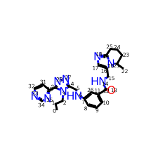 CCCn1c(CNc2cccc(C(=O)NCc3cnc4n3C(C)CCC4)c2)nnc1-c1ccncn1